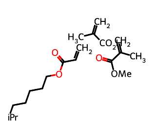 C=C(C)C(=O)O.C=C(C)C(=O)OC.C=CC(=O)OCCCCCC(C)C